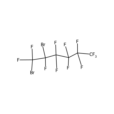 FC(F)(F)C(F)(F)C(F)(F)C(F)(F)C(F)(Br)C(F)(F)Br